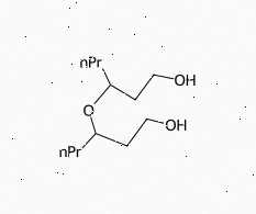 CCCC(CCO)OC(CCC)CCO